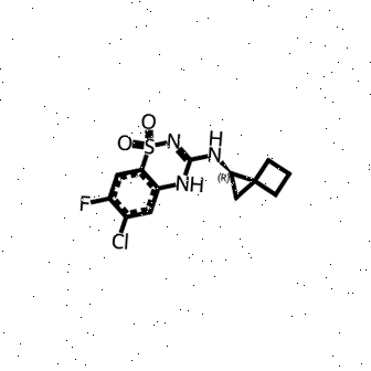 O=S1(=O)N=C(N[C@@H]2CC23CCC3)Nc2cc(Cl)c(F)cc21